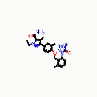 CCn1nc(-c2ccc(OCc3c(C)cccc3-n3nnn(C)c3=O)c(C)c2)c(C)c1C(N)=O